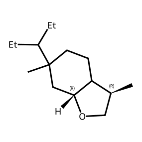 CCC(CC)C1(C)CCC2[C@@H](C)CO[C@@H]2C1